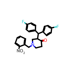 O=C1CCN(Cc2ccccc2[N+](=O)[O-])CC1C(c1ccc(F)cc1)c1ccc(F)cc1